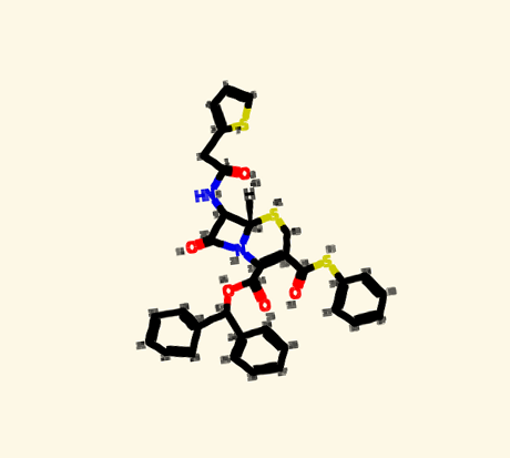 O=C(Cc1cccs1)NC1C(=O)N2C(C(=O)OC(c3ccccc3)c3ccccc3)=C(C(=O)Sc3ccccc3)CS[C@@H]12